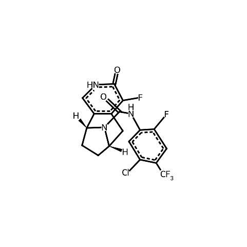 O=C(Nc1cc(Cl)c(C(F)(F)F)cc1F)N1[C@H]2CC[C@@H]1c1c[nH]c(=O)c(F)c1C2